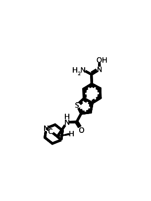 N/C(=N\O)c1ccc2cc(C(=O)N[C@H]3CN4CCC3CC4)sc2c1